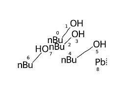 CCCCO.CCCCO.CCCCO.CCCCO.[Pb]